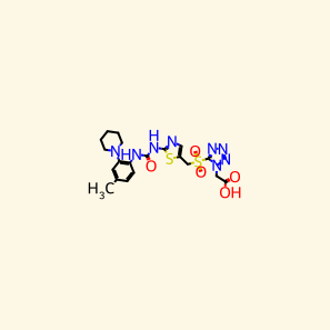 Cc1ccc(NC(=O)Nc2ncc(CS(=O)(=O)c3nnnn3CC(=O)O)s2)c(N2CCCCC2)c1